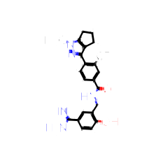 Cn1nc(-c2ccc(C(=O)NCc3cc(C(=N)N)ccc3O)cc2C(F)(F)F)c2c1CCC2